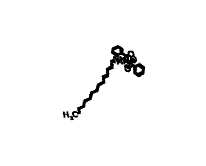 CCCCCCCCCCC=CCCCNc1ccccc1C(=O)NS(=O)(=O)c1ccccc1